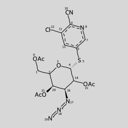 CC(=O)OCC1O[C@H](Sc2cnc(C#N)c(Cl)c2)C(OC(C)=O)[C@@H](N=[N+]=[N-])[C@H]1OC(C)=O